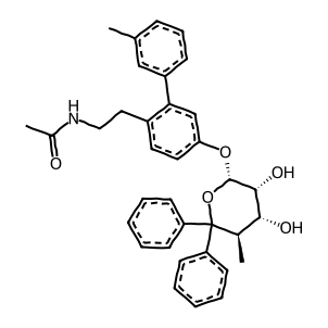 CC(=O)NCCc1ccc(O[C@H]2OC(c3ccccc3)(c3ccccc3)[C@H](C)[C@@H](O)[C@H]2O)cc1-c1cccc(C)c1